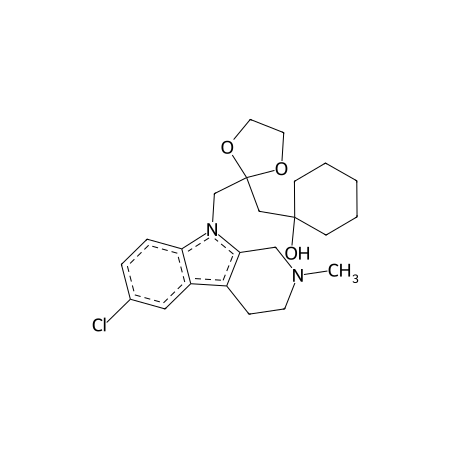 CN1CCc2c(n(CC3(CC4(O)CCCCC4)OCCO3)c3ccc(Cl)cc23)C1